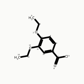 CCOc1ccc(C(=O)Cl)cc1OCC